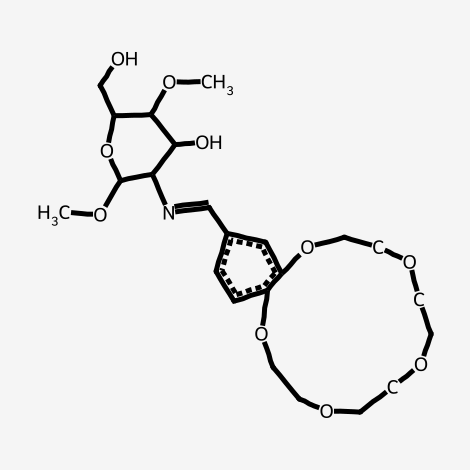 COC1OC(CO)C(OC)C(O)C1/N=C/c1ccc2c(c1)OCCOCCOCCOCCO2